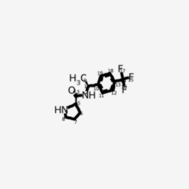 C[C@H](NC(=O)[C@H]1CCCN1)c1ccc(C(F)(F)F)cc1